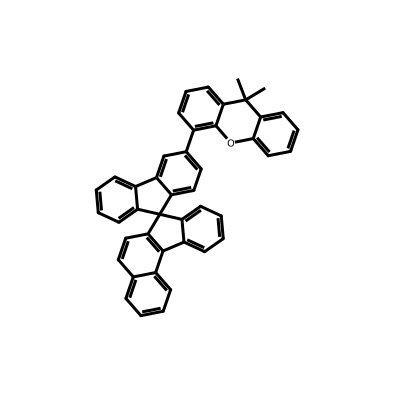 CC1(C)c2ccccc2Oc2c(-c3ccc4c(c3)-c3ccccc3C43c4ccccc4-c4c3ccc3ccccc43)cccc21